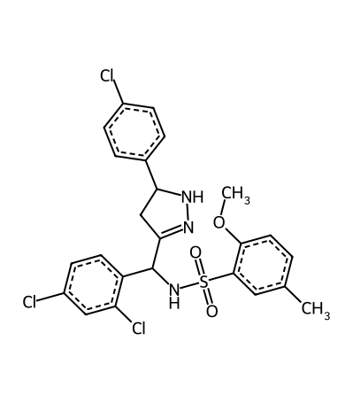 COc1ccc(C)cc1S(=O)(=O)NC(C1=NNC(c2ccc(Cl)cc2)C1)c1ccc(Cl)cc1Cl